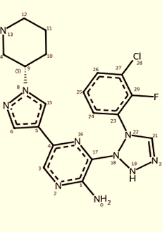 Nc1ncc(-c2cnn([C@H]3CCCNC3)c2)nc1N1NN=CN1c1cccc(Cl)c1F